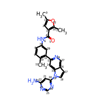 Cc1cc(C(=O)Nc2ccc(C)c(-c3cc4c(ccn4-c4cc(N)ncn4)cn3)c2)c(C)o1